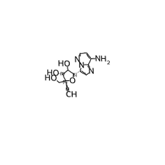 C#C[C@]1(CO)O[C@@H](c2cnc3c(N)ccnn23)C(O)[C@H]1O